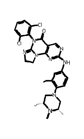 Cc1cc(Nc2ncc3c(n2)N2CCN=C2N(c2c(Cl)cccc2Cl)C3=O)ccc1N1C[C@@H](C)N(C)[C@@H](C)C1